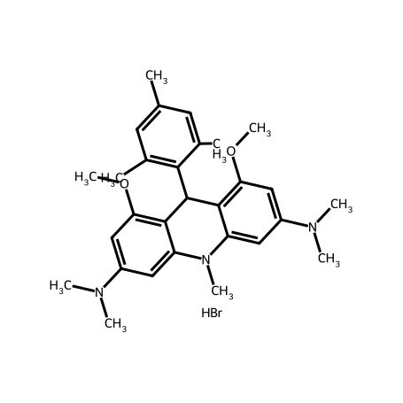 Br.COc1cc(N(C)C)cc2c1C(c1c(C)cc(C)cc1C)c1c(OC)cc(N(C)C)cc1N2C